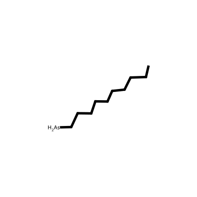 CCCCCCCCCC[AsH2]